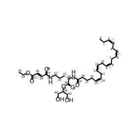 CC/C=C\C/C=C\C/C=C\C/C=C\C/C=C\CCCC(=O)N[C@@H](CCCNC(=O)/C=C/C(=O)OCC)C(=O)OC(CO)CO